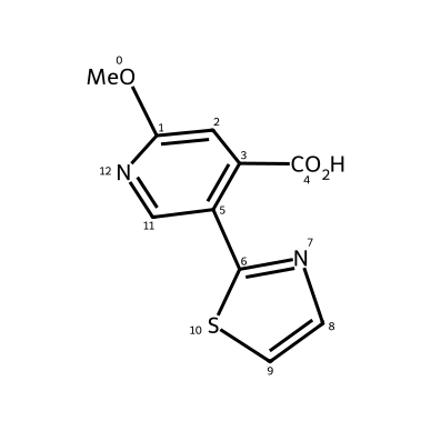 COc1cc(C(=O)O)c(-c2nccs2)cn1